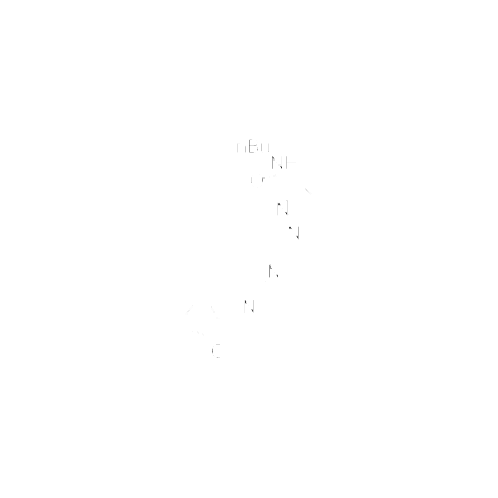 CCCCNC(=O)c1cccc(N2CCCN(C3CCN(Cc4ccccc4Cl)CC3)CC2)n1